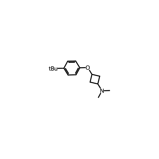 CN(C)C1CC(Oc2ccc(C(C)(C)C)cc2)C1